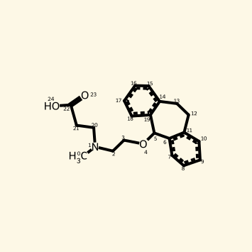 CN(CCOC1c2ccccc2CCc2ccccc21)CCC(=O)O